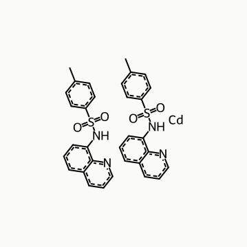 Cc1ccc(S(=O)(=O)Nc2cccc3cccnc23)cc1.Cc1ccc(S(=O)(=O)Nc2cccc3cccnc23)cc1.[Cd]